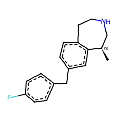 C[C@@H]1CNCCc2ccc(Cc3ccc(F)cc3)cc21